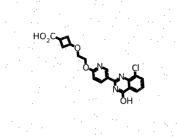 O=C(O)C1CC(OCCOc2ccc(-c3nc(O)c4cccc(Cl)c4n3)cn2)C1